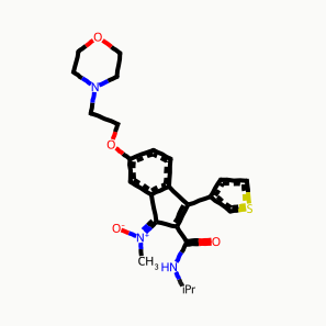 CC(C)NC(=O)C1=C(c2ccsc2)c2ccc(OCCN3CCOCC3)cc2/C1=[N+](/C)[O-]